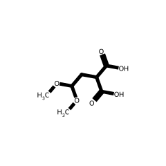 COC(CC(C(=O)O)C(=O)O)OC